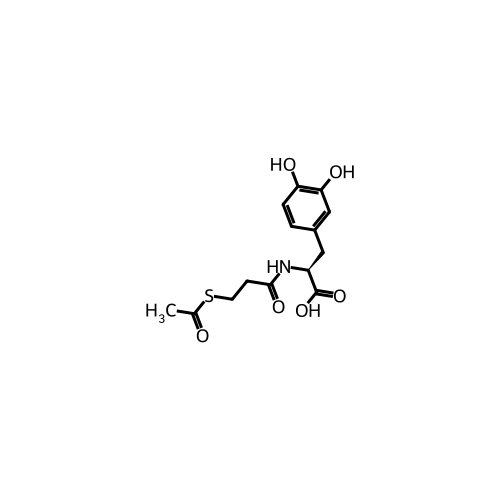 CC(=O)SCCC(=O)N[C@@H](Cc1ccc(O)c(O)c1)C(=O)O